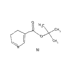 CC(C)(C)OC(=O)C1=CN=CCC1.[N]